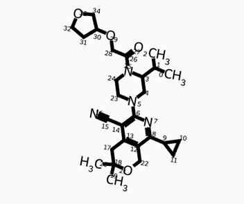 CC(C)C1CN(c2nc(C3CC3)c3c(c2C#N)CC(C)(C)OC3)CCN1C(=O)COC1CCOC1